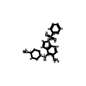 N#C[C@H]1CC[C@H](Nc2c(N)cnc3c2ccn3S(=O)(=O)c2ccccc2)CC1